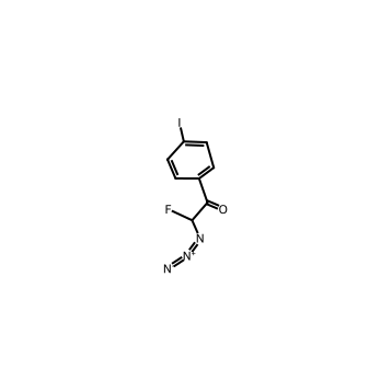 [N-]=[N+]=NC(F)C(=O)c1ccc(I)cc1